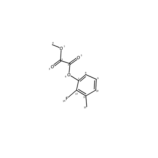 COC(=O)C(=O)Oc1cccc(C)c1F